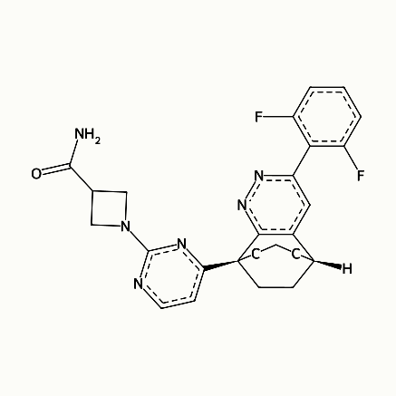 NC(=O)C1CN(c2nccc([C@@]34CCC[C@@H](CC3)c3cc(-c5c(F)cccc5F)nnc34)n2)C1